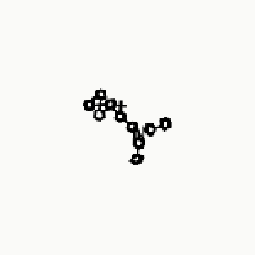 CC1(C)c2cc(-c3ccc(N(c4ccc(-c5ccccc5)cc4)c4ccc(-c5ccccc5)cc4)cc3)ccc2-c2c1ccc1c2C2=C(C=CCC2)C12c1ccccc1-c1ccccc12